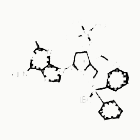 CC(C)(C)[Si](C)(C)O[C@H]1C[C@H](n2cnc3c(N)nc(F)nc32)O[C@]1(CO)CO[Si](c1ccccc1)(c1ccccc1)C(C)(C)C